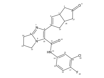 O=C1CC2C=C(c3nc4n(c3C(=O)Nc3ccc(F)c(Cl)c3)CCC4)CC2C1